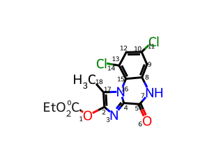 CCOC(=O)Oc1nc2c(=O)[nH]c3cc(Cl)cc(Cl)c3n2c1C